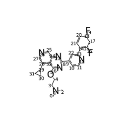 CN(C)CCOc1nc(-c2ccnc(C3=C(F)[CH]C(F)C=C3)c2)nc2cncc(C3CC3)c12